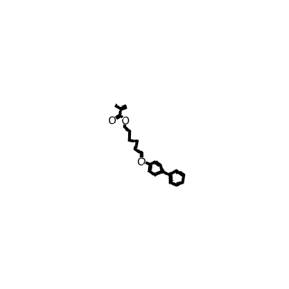 C=C(C)C(=O)OCCCCCCOc1ccc(-c2ccccc2)cc1